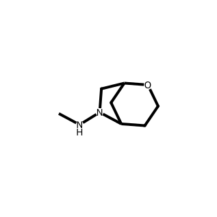 CNN1CC2CC1CCO2